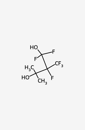 CC(C)(O)C(F)(C(O)(F)F)C(F)(F)F